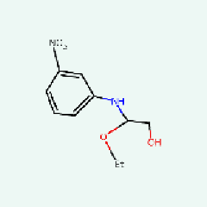 CCOC(CO)Nc1cccc([N+](=O)[O-])c1